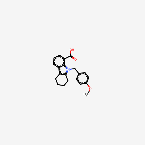 COc1ccc(Cn2c3c(c4cccc(C(=O)O)c42)CCCC3)cc1